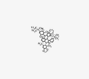 Cc1cc(C(C)(C)C)cc(C)c1N1c2cc3c(cc2B2c4c1cccc4N(c1c(C)cc4c(c1C)OCCO4)c1oc4ccc(C(C)(C)C)cc4c12)OCCO3